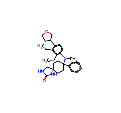 CCc1c(C2CCOC2)ccc(N(C)C2(c3ccccc3)CCC3(CC2)CNC(=O)N3)c1CC